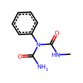 CNC(=O)N(C(N)=O)c1ccccc1